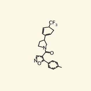 Cc1ccc(-c2oncc2C(=O)N2CCC(C3=CCC(C(F)(F)F)C=C3)C2)cc1